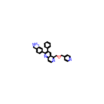 NCc1ccc(-c2nc3ccnc(COCc4ccncc4)c3cc2-c2ccccc2)cc1